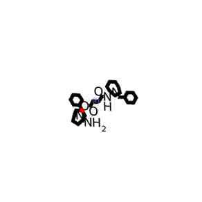 NC12CCC(CC(OC(=O)/C=C/C(=O)NC34CCCC(CC3)N4CC3CCCCC3)C1)N2CC1CCCCC1